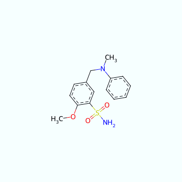 COc1ccc(CN(C)c2ccccc2)cc1S(N)(=O)=O